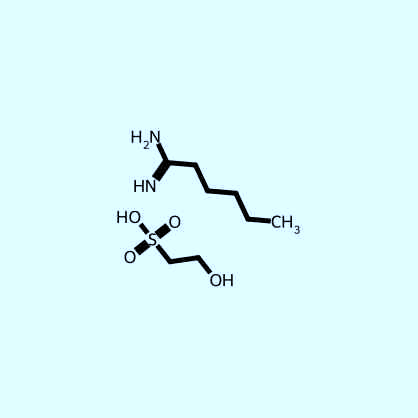 CCCCCC(=N)N.O=S(=O)(O)CCO